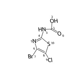 O=C(O)Nc1nc(Br)c(Cl)s1